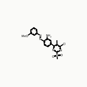 COc1cccc(N=Nc2ccc(-c3nc(S(C)(=O)=O)nc(Cl)c3C)cc2N)c1